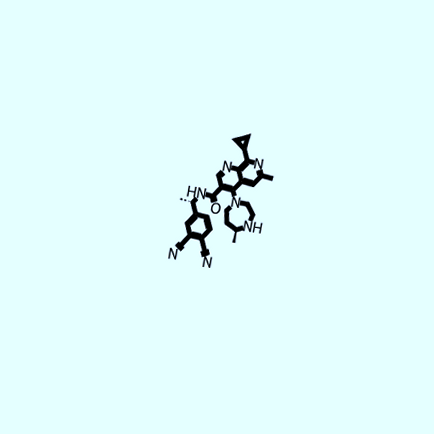 Cc1cc2c(N3CCN[C@@H](C)CC3)c(C(=O)N[C@@H](C)c3ccc(C#N)c(C#N)c3)cnc2c(C2CC2)n1